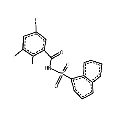 O=C(NS(=O)(=O)c1cccc2ccccc12)c1cc(I)cc(I)c1I